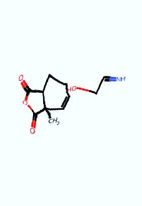 CC12C=CCCC1C(=O)OC2=O.N=CCO